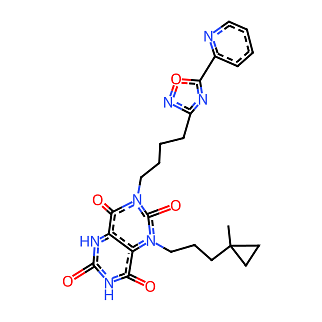 CC1(CCCn2c(=O)n(CCCCc3noc(-c4ccccn4)n3)c(=O)c3[nH]c(=O)[nH]c(=O)c32)CC1